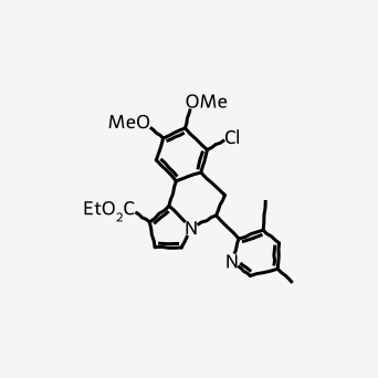 CCOC(=O)c1ccn2c1-c1cc(OC)c(OC)c(Cl)c1CC2c1ncc(C)cc1C